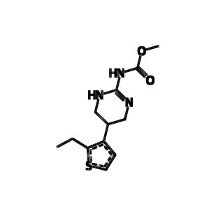 CCc1sccc1C1CN=C(NC(=O)OC)NC1